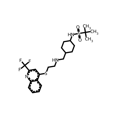 CC(C)(C)S(=O)(=O)NC1CCC(CNCCSc2cc(C(F)(F)F)nc3ccccc23)CC1